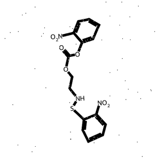 O=C(OCCNSc1ccccc1[N+](=O)[O-])Oc1ccccc1[N+](=O)[O-]